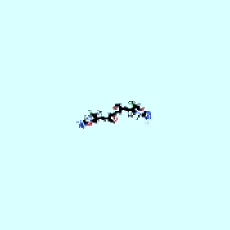 CCc1c(C#CC2=CCOC(C3C=C(C#Cc4cnc(Oc5nn[nH]c5C(=O)O)c(F)c4Cl)CCO3)C2)cc(Oc2nn[nH]c2C(=O)O)nc1F